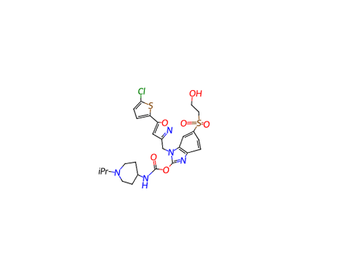 CC(C)N1CCC(NC(=O)Oc2nc3ccc(S(=O)(=O)CCO)cc3n2Cc2cc(-c3ccc(Cl)s3)on2)CC1